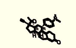 C#C[C@]1(C(C)=O)CC[C@H]2[C@@H]3CCC4=CC(=O)CCC4=C3[C@@H](c3ccc(N(C)C)cc3)C[C@@]21C